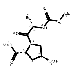 COC(=O)[C@H]1C[C@H](OC)CN1C(=O)[C@@H](NC(=O)OC(C)(C)C)C(C)(C)C